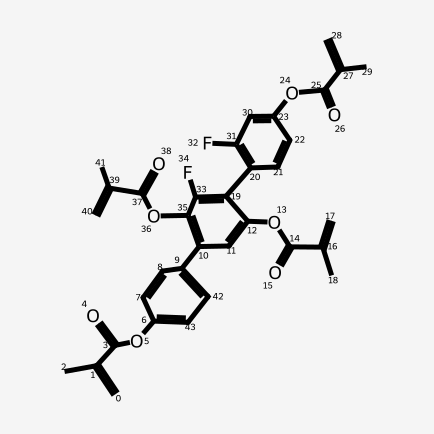 C=C(C)C(=O)Oc1ccc(-c2cc(OC(=O)C(=C)C)c(-c3ccc(OC(=O)C(=C)C)cc3F)c(F)c2OC(=O)C(=C)C)cc1